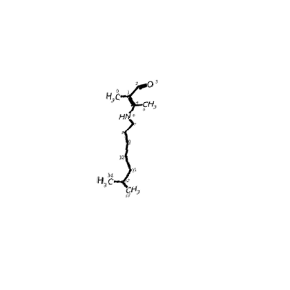 CC(C=O)=C(C)NCCCCCC(C)C